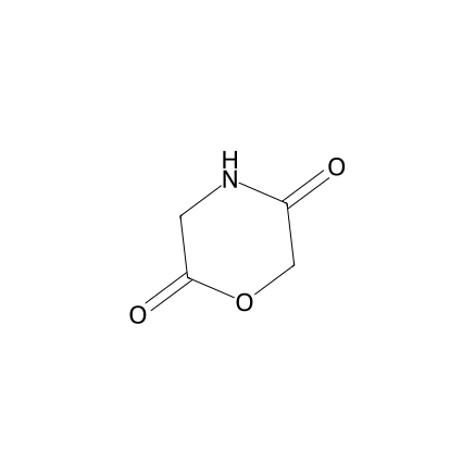 O=C1COC(=O)CN1